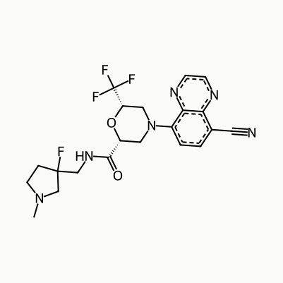 CN1CCC(F)(CNC(=O)[C@H]2CN(c3ccc(C#N)c4nccnc34)C[C@@H](C(F)(F)F)O2)C1